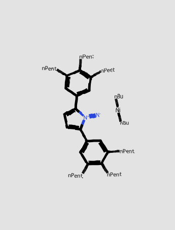 CCCCCc1cc(C2=CC=C(c3cc(CCCCC)c(CCCCC)c(CCCCC)c3)[N+]2=[N-])cc(CCCCC)c1CCCCC.CCC[CH2][Ni][CH2]CCC